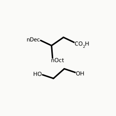 CCCCCCCCCCC(CCCCCCCC)CC(=O)O.OCCO